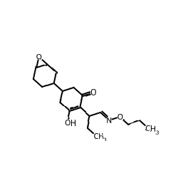 CCCON=CC(CC)C1=C(O)CC(C2CCC3OC3C2)CC1=O